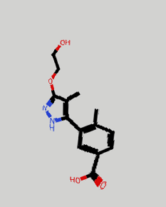 Cc1ccc(C(=O)O)cc1-c1[nH]nc(OCCO)c1C